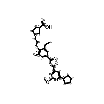 CCc1cc(-c2noc(-c3cc(OC)nc(C4CCCC4)c3)n2)cc(C)c1OCCN1CCC(C(=O)O)C1